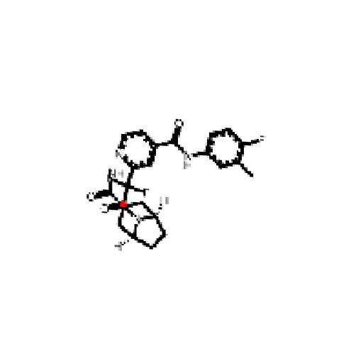 Cc1cc(NC(=O)c2ccnc(C(F)(F)C(=O)N3[C@@H]4CC[C@H]3C[C@@H](C(N)=O)C4)c2)ccc1F